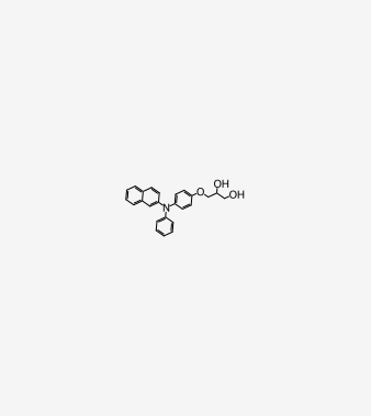 OCC(O)COc1ccc(N(c2ccccc2)c2ccc3ccccc3c2)cc1